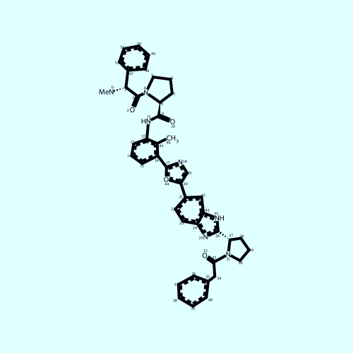 CN[C@@H](C(=O)N1CCC[C@H]1C(=O)Nc1cccc(-c2ncc(-c3ccc4nc([C@@H]5CCCN5C(=O)Cc5ccccc5)[nH]c4c3)o2)c1C)c1ccccc1